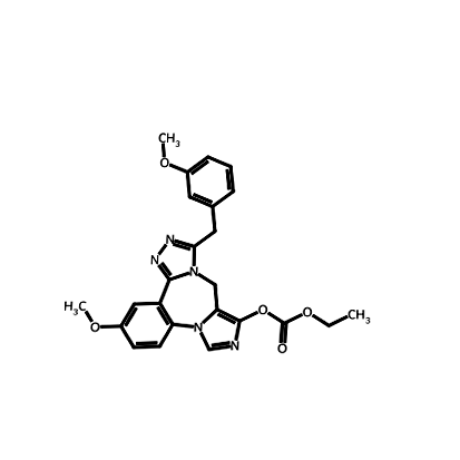 CCOC(=O)Oc1ncn2c1Cn1c(Cc3cccc(OC)c3)nnc1-c1cc(OC)ccc1-2